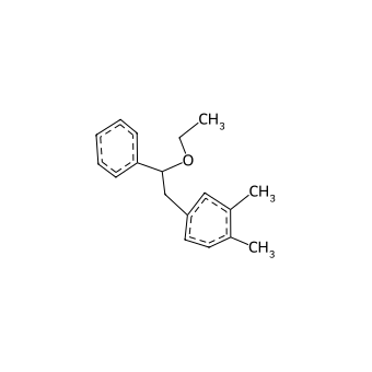 CCOC(Cc1ccc(C)c(C)c1)c1ccccc1